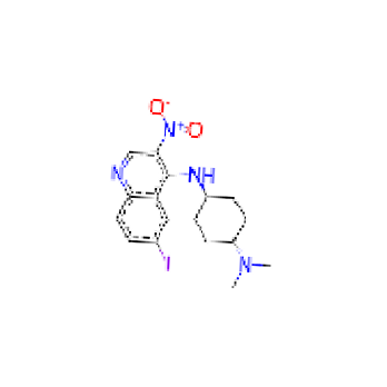 CN(C)[C@H]1CC[C@H](Nc2c([N+](=O)[O-])cnc3ccc(I)cc23)CC1